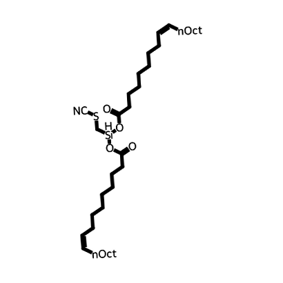 CCCCCCCC/C=C\CCCCCCCC(=O)O[SiH](CSC#N)OC(=O)CCCCCCC/C=C\CCCCCCCC